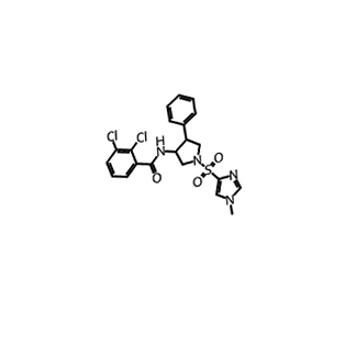 Cn1cnc(S(=O)(=O)N2CC(NC(=O)c3cccc(Cl)c3Cl)C(c3ccccc3)C2)c1